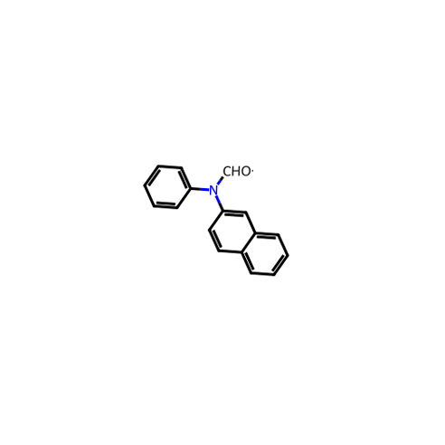 O=[C]N(c1ccccc1)c1ccc2ccccc2c1